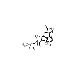 Cc1[nH]c(/C=C2/C(=O)NN=C2c2cnccn2)c(C)c1C(=O)NCCN(C)C